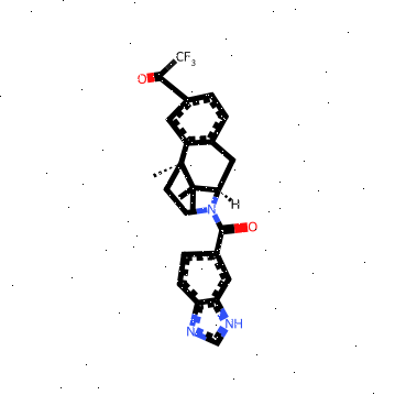 CC1(C)[C@H]2Cc3ccc(C(=O)C(F)(F)F)cc3[C@]1(C)CCN2C(=O)c1ccc2nc[nH]c2c1